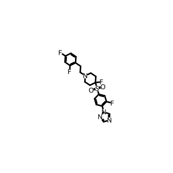 O=S(=O)(c1ccc(-n2cncn2)c(F)c1)C1(F)CCN(CCc2ccc(F)cc2F)CC1